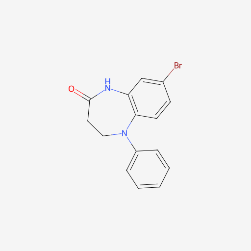 O=C1CCN(c2ccccc2)c2ccc(Br)cc2N1